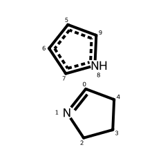 C1=NCCC1.c1cc[nH]c1